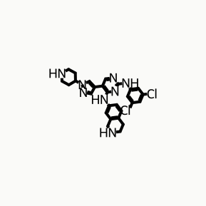 Clc1cc(Cl)cc(Nc2ncc(-c3cnn(C4CCNCC4)c3)c(Nc3ccc4c(c3)CNCC4)n2)c1